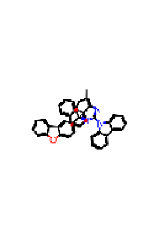 C\C1=C(c2cccc3ccccc23)/N=C(n2c3ccccc3c3ccccc32)\N=C(\c2ccc3oc4ccccc4c3c2)CC1